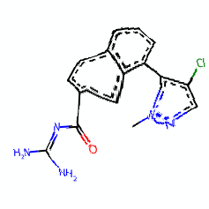 Cn1ncc(Cl)c1-c1cccc2ccc(C(=O)N=C(N)N)cc12